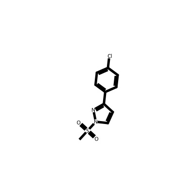 CS(=O)(=O)n1ccc(-c2ccc(Cl)cc2)n1